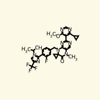 COc1ncnc(C2CC2)c1-c1ncc2c(n1)N(Cc1ccc(-c3nc(C(F)(F)F)cn3C(C)C)c(F)c1)C1(CC1)C(=O)N2C